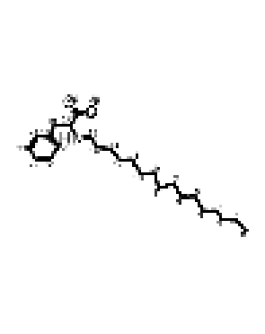 CCCCCCCCCCCCCCCCNC(Cc1ccccc1)C(=O)OC